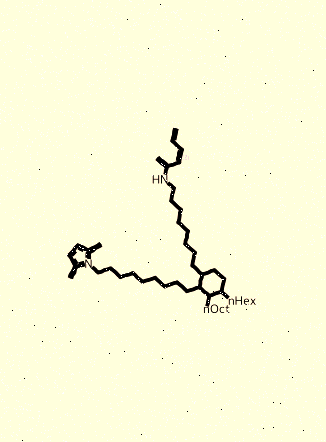 C=C/C=C\C(=C)NCCCCCCCCC1CCC(CCCCCC)C(CCCCCCCC)C1CCCCCCCCCn1c(=C)ccc1=C